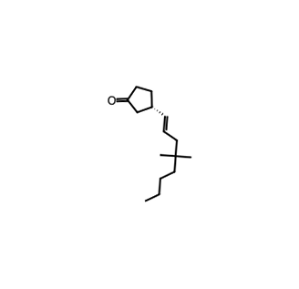 CCCCC(C)(C)C/C=C/[C@H]1CCC(=O)C1